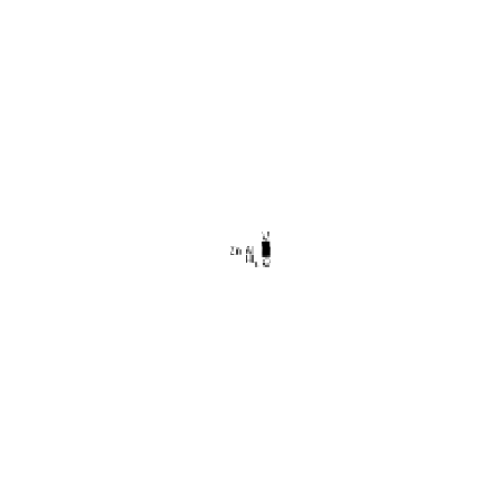 [AlH3].[O]=[V].[Zn]